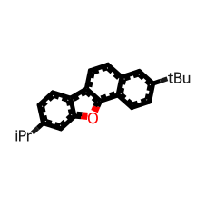 CC(C)c1ccc2c(c1)oc1c3ccc(C(C)(C)C)cc3ccc21